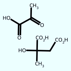 CC(=O)C(=O)O.CC(O)(CC(=O)O)C(=O)O